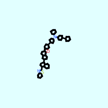 c1ccc(-c2ccc(N(c3ccccc3)c3ccc(-c4ccc5c(c4)oc4c6ccc(-c7ccc(-c8nc9ccccc9s8)c8ccccc78)cc6ccc54)cc3)cc2)cc1